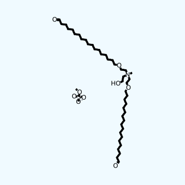 COS(=O)(=O)[O-].C[N+](CCO)(CCOCCCCCCCCCCCCCCCCCC=O)CCOCCCCCCCCCCCCCCCCCC=O